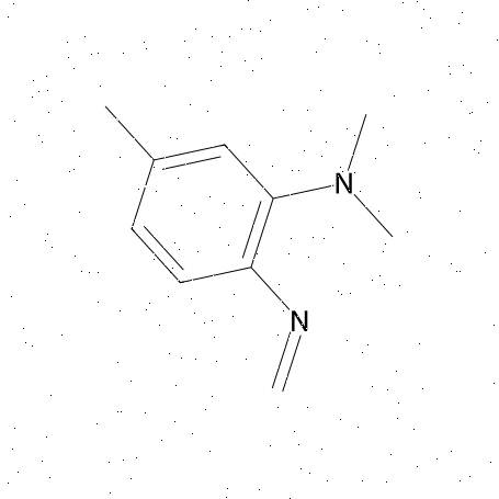 C=Nc1ccc(C)cc1N(C)C